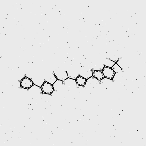 C[C@H](NC(=O)c1cc(-c2cccnc2)ncn1)c1cc(-c2nc3ccc(C(F)(F)F)cc3[nH]2)no1